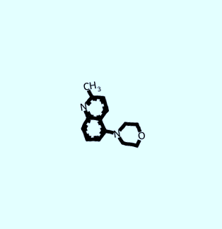 Cc1ccc2c(N3CCOCC3)cccc2n1